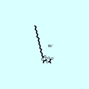 CCCCCCCCCCCCCCCCCC(=O)OC(C)C(=O)OC(C)C(=O)[O-].[Rb+]